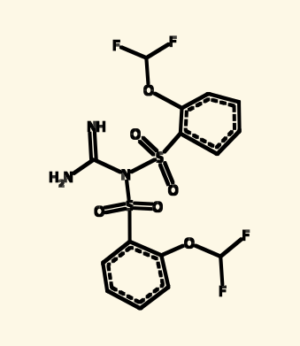 N=C(N)N(S(=O)(=O)c1ccccc1OC(F)F)S(=O)(=O)c1ccccc1OC(F)F